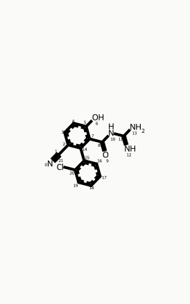 N#Cc1ccc(O)c(C(=O)NC(=N)N)c1-c1ccccc1Cl